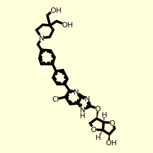 OCC1(CO)CCN(Cc2ccc(-c3ccc(-c4nc5nc(O[C@@H]6CO[C@H]7[C@@H]6OC[C@H]7O)[nH]c5cc4Cl)cc3)cc2)CC1